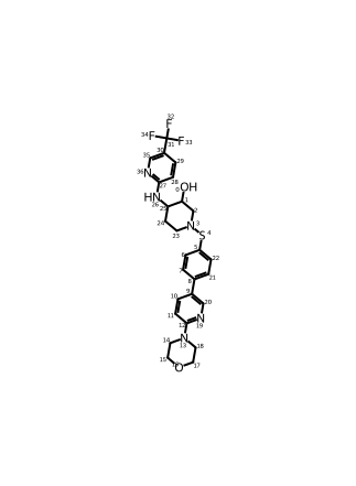 OC1CN(Sc2ccc(-c3ccc(N4CCOCC4)nc3)cc2)CCC1Nc1ccc(C(F)(F)F)cn1